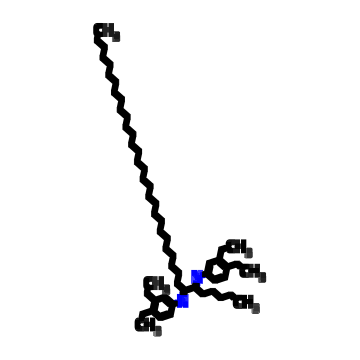 CCCCCCCCCCCCCCCCCCCCCCCCCCCCCCC(=Nc1ccc(CC)c(CC)c1)C(CCCCC)=Nc1ccc(CC)c(CC)c1